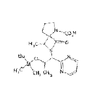 CC(O[Si](C)(C)C(C)(C)C)C(c1ncccn1)N1C(=O)C2(CCCN2C(=O)O)C1C